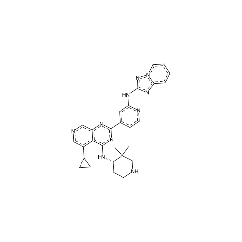 CC1(C)CNCC[C@@H]1Nc1nc(-c2ccnc(Nc3nc4ccccn4n3)c2)nc2cncc(C3CC3)c12